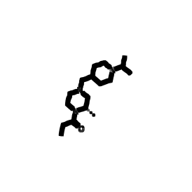 CCC(=O)N1CCN(CC2CCN(C(C)C)CC2)C[C@@H]1C